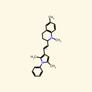 Cc1ccc2c(c1)CCC(/C=C/c1cc(C)n(-c3ccccc3)c1C)N2C